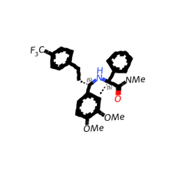 CNC(=O)[C@@](C)(N[C@@H](CCc1ccc(C(F)(F)F)cc1)c1ccc(OC)c(OC)c1)c1ccccc1